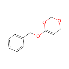 C1=C(OCc2ccccc2)OCOC1